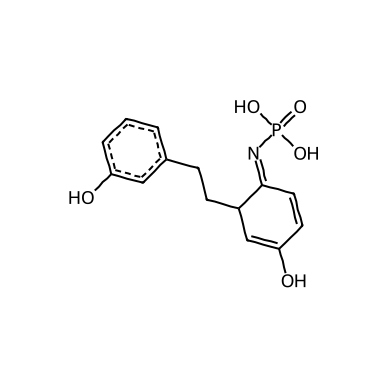 O=P(O)(O)N=C1C=CC(O)=CC1CCc1cccc(O)c1